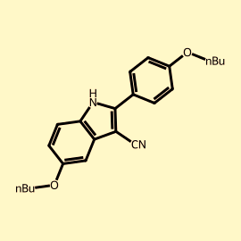 CCCCOc1ccc(-c2[nH]c3ccc(OCCCC)cc3c2C#N)cc1